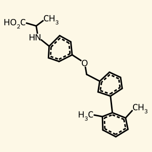 Cc1cccc(C)c1-c1cccc(COc2ccc(NC(C)C(=O)O)cc2)c1